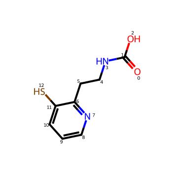 O=C(O)NCCc1ncccc1S